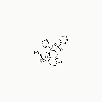 CC1CCC(=O)[C@H]2C[C@@H](S(=O)(=O)c3ccccc3)[C@H]3c4ccccc4[C@@H](C(=O)O)N3[C@H]12